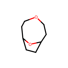 C1CC2CCC(CCO1)O2